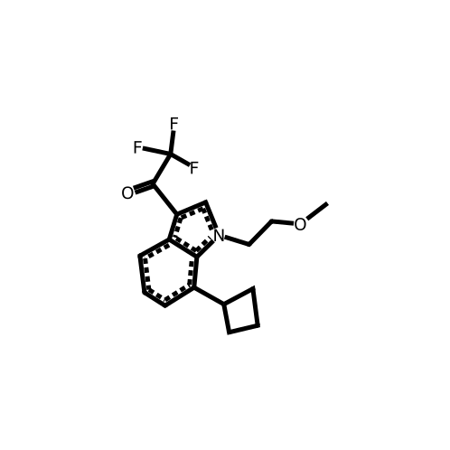 COCCn1cc(C(=O)C(F)(F)F)c2cccc(C3CCC3)c21